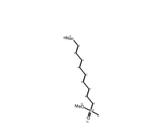 CCCCCCCCCCCCCCCCCCP(C)(=O)OC